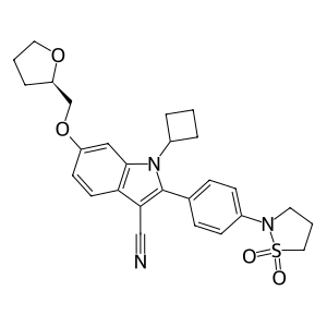 N#Cc1c(-c2ccc(N3CCCS3(=O)=O)cc2)n(C2CCC2)c2cc(OC[C@H]3CCCO3)ccc12